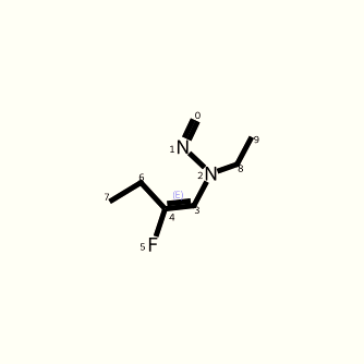 C=NN(/C=C(/F)CC)CC